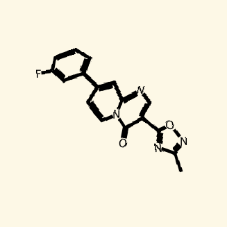 Cc1noc(-c2cnc3cc(-c4cccc(F)c4)ccn3c2=O)n1